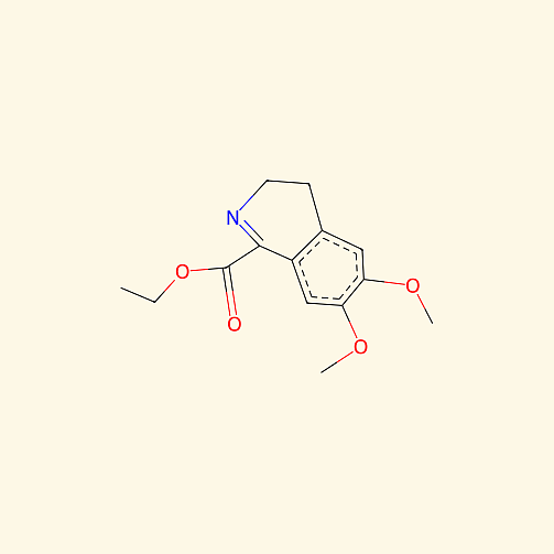 CCOC(=O)C1=NCCc2cc(OC)c(OC)cc21